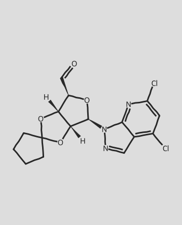 O=C[C@H]1O[C@@H](n2ncc3c(Cl)cc(Cl)nc32)[C@@H]2OC3(CCCC3)O[C@@H]21